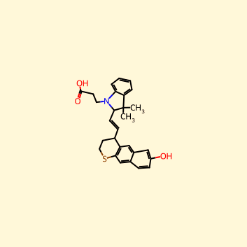 CC1(C)c2ccccc2N(CCC(=O)O)C1/C=C/C1CCSc2cc3ccc(O)cc3cc21